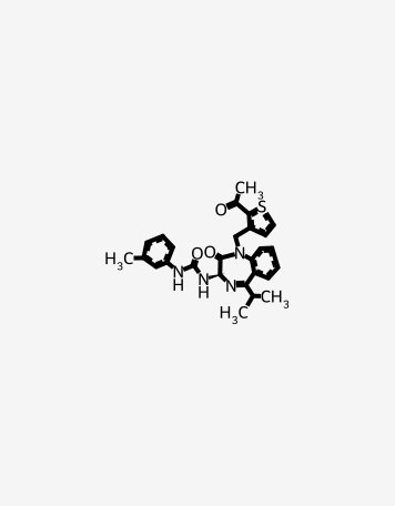 CC(=O)c1sccc1CN1C(=O)[C@H](NC(=O)Nc2cccc(C)c2)N=C(C(C)C)c2ccccc21